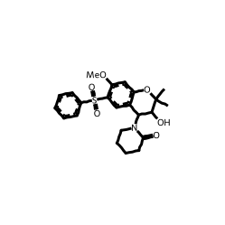 COc1cc2c(cc1S(=O)(=O)c1ccccc1)C(N1CCCCC1=O)C(O)C(C)(C)O2